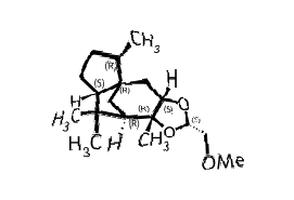 COC[C@H]1O[C@H]2C[C@@]34C[C@H](C(C)(C)[C@@H]3CC[C@H]4C)[C@@]2(C)O1